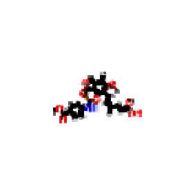 COC(=O)c1ccc(NC(=S)Oc2c(CC=C(C)CCC(=O)O)c(OC)c(C)c3c2C(=O)OC3)cc1